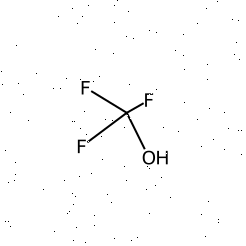 OC(F)(F)F